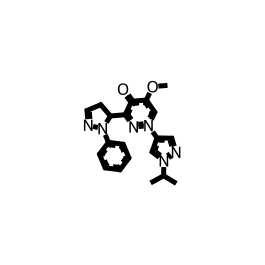 COc1cn(-c2cnn(C(C)C)c2)nc(C2CC=NN2c2ccccc2)c1=O